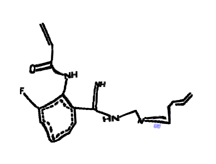 C=C/C=N\CNC(=N)c1cccc(F)c1NC(=O)C=C